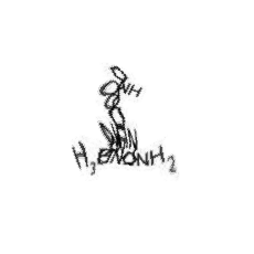 Cc1cnc(-c2cccc(OCC(=O)NC3CCCC3)c2)nc1Nc1ccc(N)c(C=N)c1